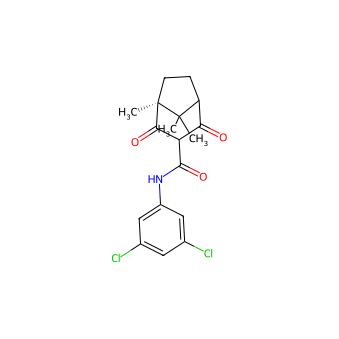 CC1(C)C2CC[C@]1(C)C(=O)C(C(=O)Nc1cc(Cl)cc(Cl)c1)C2=O